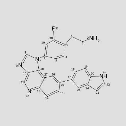 NCCc1ccc(-n2cnc3cnc4ccc(-c5ccc6[nH]ccc6c5)cc4c32)cc1F